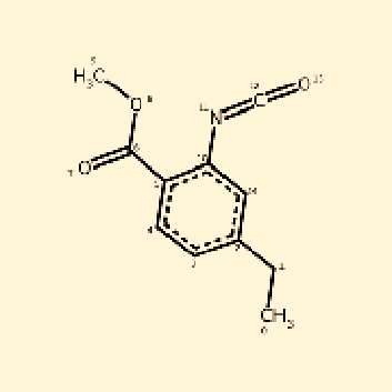 CCc1ccc(C(=O)OC)c(N=C=O)c1